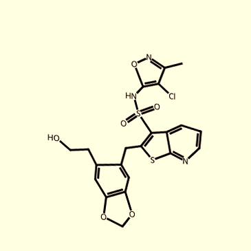 Cc1noc(NS(=O)(=O)c2c(Cc3cc4c(cc3CCO)OCO4)sc3ncccc23)c1Cl